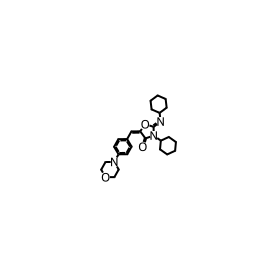 O=C1/C(=C\c2ccc(N3CCOCC3)cc2)OC(=NC2CCCCC2)N1C1CCCCC1